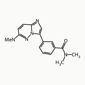 CNc1ccc2ncc(-c3cccc(C(=O)N(C)C)c3)n2n1